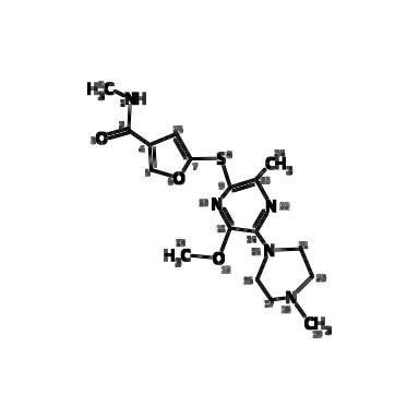 CNC(=O)c1coc(Sc2nc(OC)c(N3CCN(C)CC3)nc2C)c1